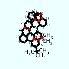 CC(C)(C)c1cc(-c2cccc3cccc(-c4ccccc4N(c4ccccc4-c4ccccc4)c4cccc5sc6ccccc6c45)c23)cc(C(C)(C)C)c1